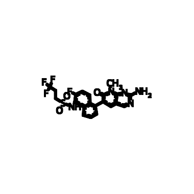 Cn1c(=O)c(-c2cccc3c(NS(=O)(=O)CCC(F)(F)F)c(F)ccc23)cc2cnc(N)nc21